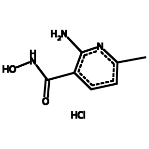 Cc1ccc(C(=O)NO)c(N)n1.Cl